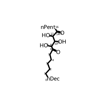 CCCCCCCCCCCCCCCC(=O)C(O)C(O)C(O)C(=O)CCCCC